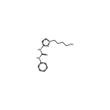 OCCCCn1ccc(NC(=S)Nc2ccccc2)n1